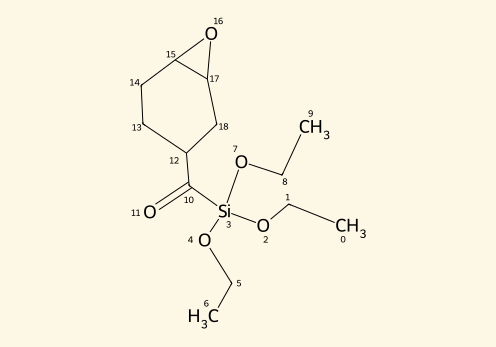 CCO[Si](OCC)(OCC)C(=O)C1CCC2OC2C1